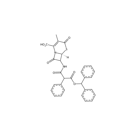 CC1=C(C(=O)O)N2C(=O)C(NC(=O)C(C(=O)OC(c3ccccc3)c3ccccc3)c3ccccc3)[C@@H]2SC1=O